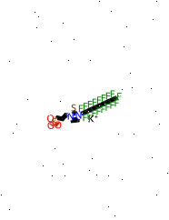 O=S(=O)([O-])CCCn1ccn(C(F)(F)C(F)(F)C(F)(F)C(F)(F)C(F)(F)C(F)(F)C(F)(F)C(F)(F)F)c1=S.[K+]